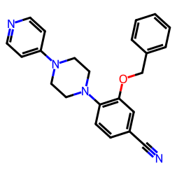 N#Cc1ccc(N2CCN(c3ccncc3)CC2)c(OCc2ccccc2)c1